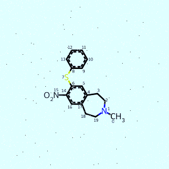 CN1CCc2cc(Sc3ccccc3)c([N+](=O)[O-])cc2CC1